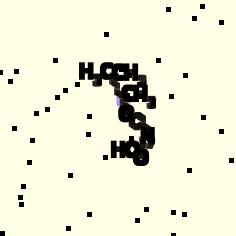 CC(C)=CCC/C(C)=C/COc1ccc(CN2CCC(C(=O)O)C2)cc1